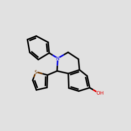 Oc1ccc2c(c1)CCN(c1ccccc1)C2c1cccs1